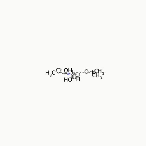 Cc1cccc(C[C@H](O)/C=C/[C@@H]2[C@H]3CC(CCOCCN(C)C)=C[C@H]3C[C@H]2O)c1